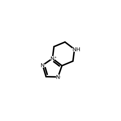 C1=N[N+]2=C(CNCC2)[N]1